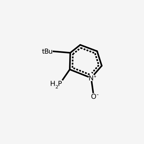 CC(C)(C)c1ccc[n+]([O-])c1P